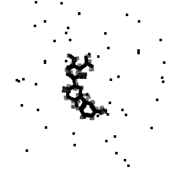 COC(=O)[C@@H](NC(=O)[C@H]1C[C@@](C)(c2cccc(O)c2)[C@@H](C)CN1)C(C)C